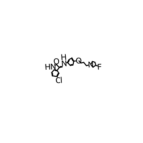 O=C1Nc2ccc(Cl)cc2C1=CNc1ccc(OCCCN2CCC(F)C2)cc1